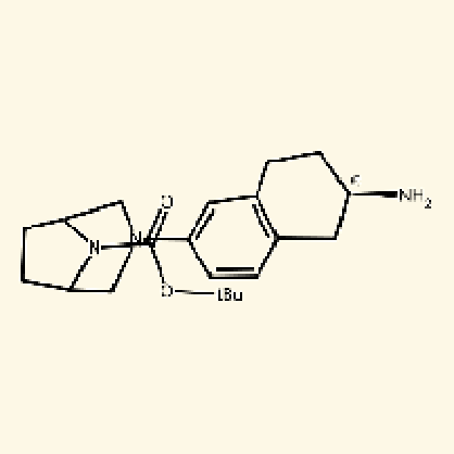 CC(C)(C)OC(=O)N1C2CCC1CN(c1ccc3c(c1)CC[C@@H](N)C3)C2